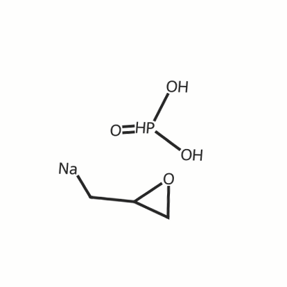 O=[PH](O)O.[Na][CH2]C1CO1